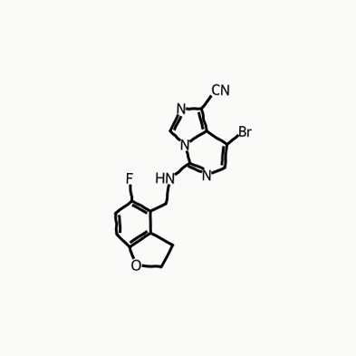 N#Cc1ncn2c(NCc3c(F)ccc4c3CCO4)ncc(Br)c12